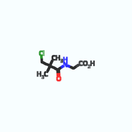 CC(C)(CCl)C(=O)NCC(=O)O